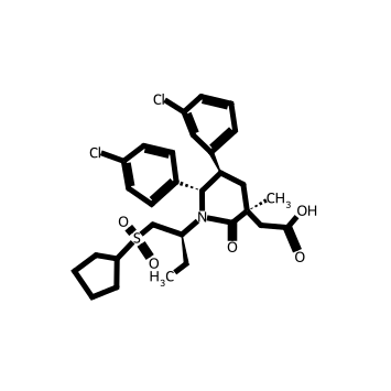 CC[C@@H](CS(=O)(=O)C1CCCC1)N1C(=O)[C@](C)(CC(=O)O)C[C@H](c2cccc(Cl)c2)[C@H]1c1ccc(Cl)cc1